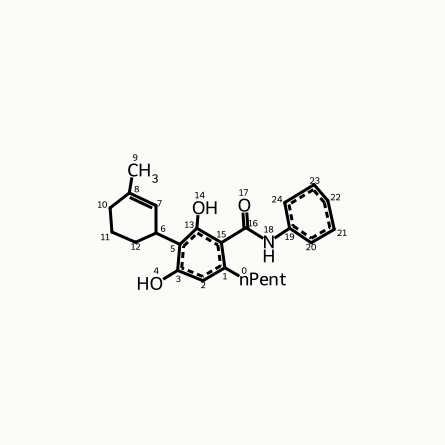 CCCCCc1cc(O)c(C2C=C(C)CCC2)c(O)c1C(=O)Nc1ccccc1